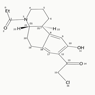 CCC(=O)N1CCC[C@H]2c3cc(O)c(C(=O)CCl)cc3CC[C@@H]21